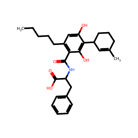 CCCCCc1cc(O)c(C2C=C(C)CCC2)c(O)c1C(=O)NC(Cc1ccccc1)C(=O)O